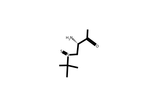 CC(=O)[C@@H](N)CS(=S)C(C)(C)C